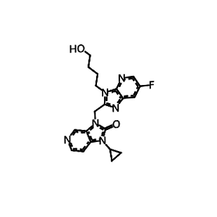 O=c1n(Cc2nc3cc(F)cnc3n2CCCCO)c2cnccc2n1C1CC1